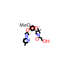 COc1ccc([C@@H]2CN(C(=O)CCO)C[C@@]2(C)[C@@H](C)O)cc1OC1CN(c2ccc(C)cn2)C1